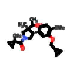 COc1ccc([C@@H]2CN(C(=O)C3(OC(C)=O)CC3)C[C@@]2(C)[C@@H](C)O)cc1OCC1CC1